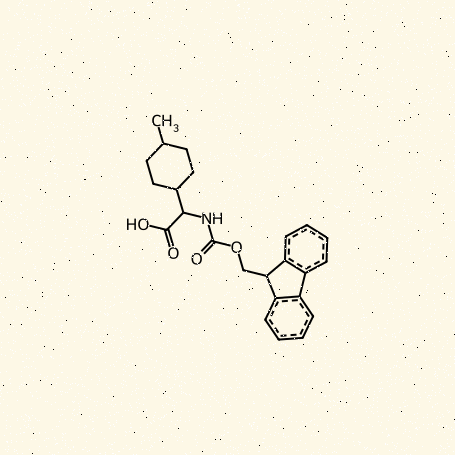 CC1CCC(C(NC(=O)OCC2c3ccccc3-c3ccccc32)C(=O)O)CC1